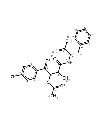 CC(=O)SC(C(=O)c1ccc(Cl)cc1)C(C)C(=O)N[C@@H](Cc1ccccc1)C(=O)O